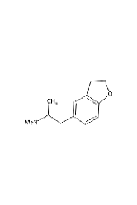 CNC(C)Cc1ccc2c(c1)CCO2